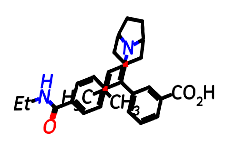 CCNC(=O)c1ccc(C(=C2CC3CCC(C2)N3CC=C(C)C)c2cccc(C(=O)O)c2)cc1